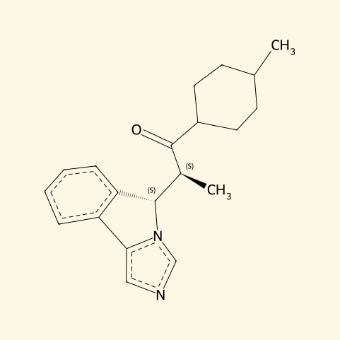 CC1CCC(C(=O)[C@@H](C)[C@H]2c3ccccc3-c3cncn32)CC1